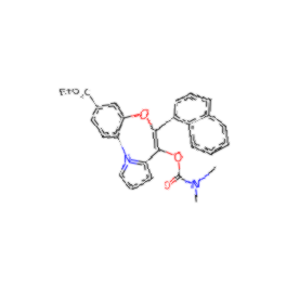 CCOC(=O)c1ccc2c(c1)OC(c1cccc3ccccc13)=C(OC(=O)N(C)C)c1cccn1-2